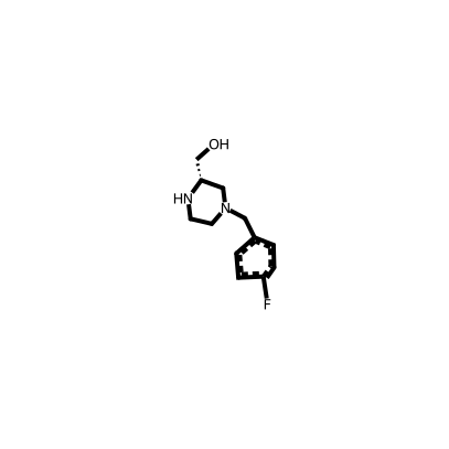 OC[C@@H]1CN(Cc2ccc(F)cc2)CCN1